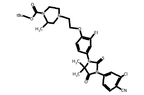 CCc1cc(N2C(=S)N(c3ccc(C#N)c(Cl)c3)C(=O)C2(C)C)ccc1OCCN1CCN(C(=O)OC(C)(C)C)C(C)C1